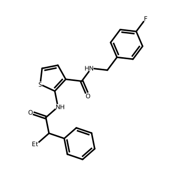 CCC(C(=O)Nc1sccc1C(=O)NCc1ccc(F)cc1)c1ccccc1